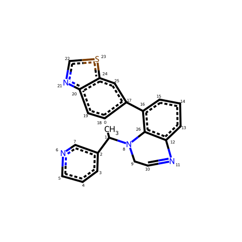 CC(c1cccnc1)N1CC=Nc2cccc(-c3ccc4ncsc4c3)c21